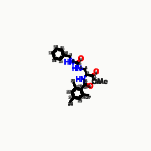 COC(=O)[C@H](CNC(=O)NCc1ccccc1)NC(=O)c1c(C)cc(C)cc1C